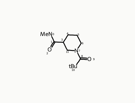 CNC(=O)C1CCCN(C(=O)C(C)(C)C)C1